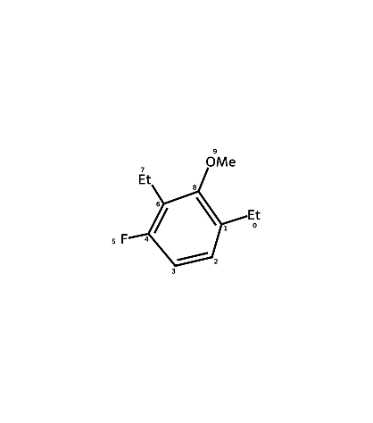 CCc1ccc(F)c(CC)c1OC